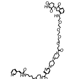 O=C(/C=C/c1cccnc1)NCCCCC1CCN(C(=O)c2ccc(N3CCC(N4CCN(C(=O)CCOCCOCCOCCOCCNc5cccc6c5CN(C5CCC(=O)NC5=O)C6=O)CC4)CC3)nc2)CC1